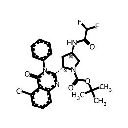 CC(C)(C)OC(=O)N1C[C@H](NC(=O)C(F)F)C[C@H]1c1nc2cccc(Cl)c2c(=O)n1-c1ccccc1